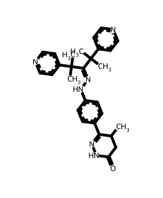 CC1CC(=O)NN=C1c1ccc(NN=C(C(C)(C)c2ccncc2)C(C)(C)c2ccncc2)cc1